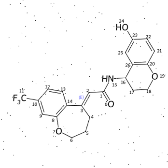 O=C(/C=C1\CCCOc2cc(C(F)(F)F)ccc21)NC1CCOc2ccc(O)cc21